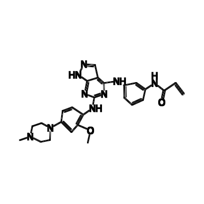 C=CC(=O)Nc1cccc(Nc2nc(Nc3ccc(N4CCN(C)CC4)cc3OC)nc3[nH]ncc23)c1